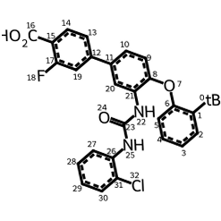 CC(C)(C)c1ccccc1Oc1ccc(-c2ccc(C(=O)O)c(F)c2)cc1NC(=O)Nc1ccccc1Cl